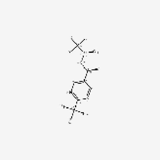 C[C@H](N[S@+]([O-])C(C)(C)C)c1cnc(C(F)(F)F)nc1